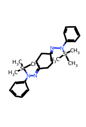 C[Si](C)(C)N(N=C1CCC(=NN(c2ccccc2)[Si](C)(C)C)CC1)c1ccccc1